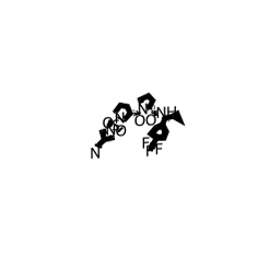 N#CC1CN(S(=O)(=O)N2CCC[C@H](C(=O)N3CCC[C@@H]3C(=O)N[C@@H](c3ccc(C(F)(F)F)cc3)C3CC3)C2)C1